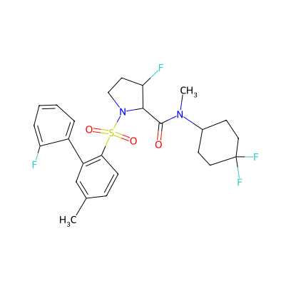 Cc1ccc(S(=O)(=O)N2CCC(F)C2C(=O)N(C)C2CCC(F)(F)CC2)c(-c2ccccc2F)c1